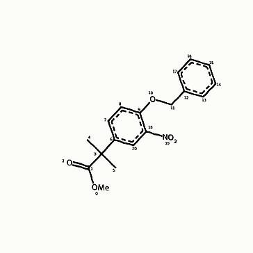 COC(=O)C(C)(C)c1ccc(OCc2ccccc2)c([N+](=O)[O-])c1